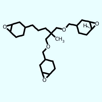 CC(CCCC1CCC2OC2C1)(COCC1CCC2OC2C1)COCC1CC[C@@H]2OC2C1